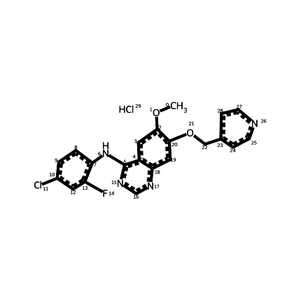 COc1cc2c(Nc3ccc(Cl)cc3F)ncnc2cc1OCc1ccncc1.Cl